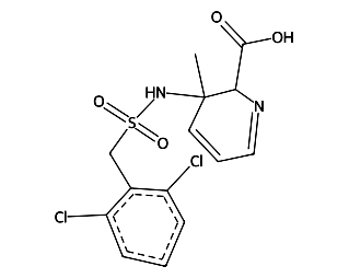 CC1(NS(=O)(=O)Cc2c(Cl)cccc2Cl)C=CC=NC1C(=O)O